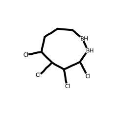 ClC1BBCCCC(Cl)C(Cl)C1Cl